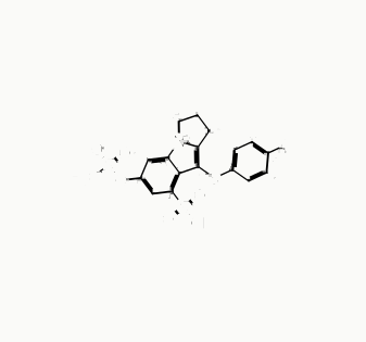 CS(=O)(=O)c1cc(OS(=O)(=O)C(F)(F)F)cc2c1c(Sc1ccc(Cl)cc1)c1n2CC[C]1